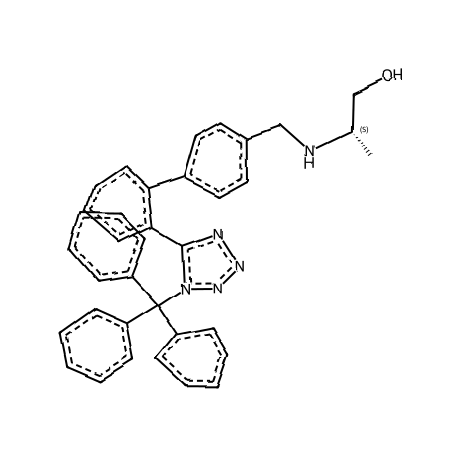 C[C@@H](CO)NCc1ccc(-c2ccccc2-c2nnnn2C(c2ccccc2)(c2ccccc2)c2ccccc2)cc1